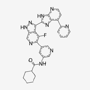 O=C(Nc1cncc(-c2ncc3[nH]nc(-c4nc5c(-c6ccccn6)ccnc5[nH]4)c3c2F)c1)C1CCCCC1